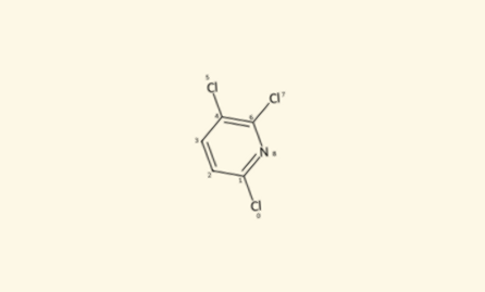 Clc1ccc(Cl)c(Cl)n1